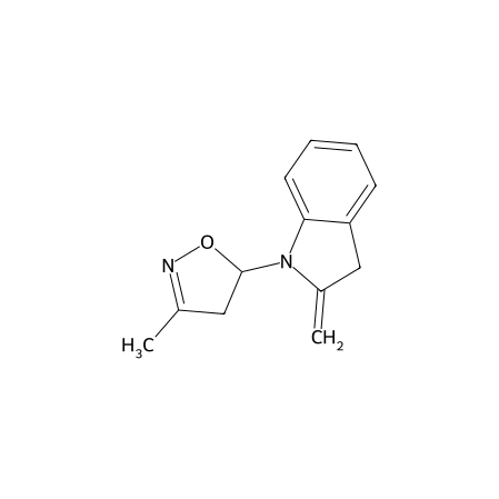 C=C1Cc2ccccc2N1C1CC(C)=NO1